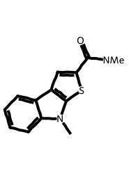 CNC(=O)c1cc2c3ccccc3n(C)c2s1